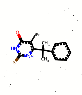 CC(C)c1c(C(C)(C)c2ccccc2)[nH]c(=S)[nH]c1=O